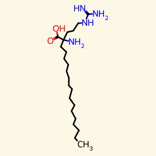 CCCCCCCCCCCCCCCCC(N)(CCCNC(=N)N)C(=O)O